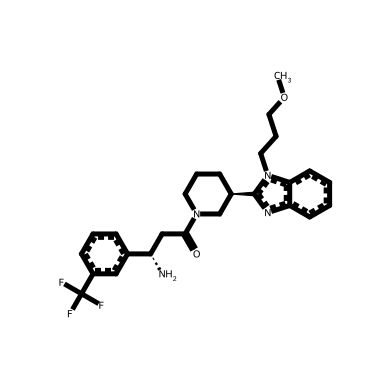 COCCCn1c([C@@H]2CCCN(C(=O)C[C@H](N)c3cccc(C(F)(F)F)c3)C2)nc2ccccc21